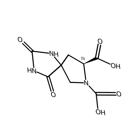 O=C1NC(=O)C2(C[C@@H](C(=O)O)N(C(=O)O)C2)N1